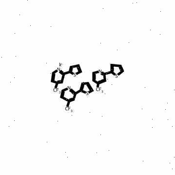 FC(F)(F)c1ccnc(-c2cccs2)c1.FC(F)(F)c1ccnc(-c2cccs2)c1.FC(F)(F)c1ccnc(-c2cccs2)c1.[Ir]